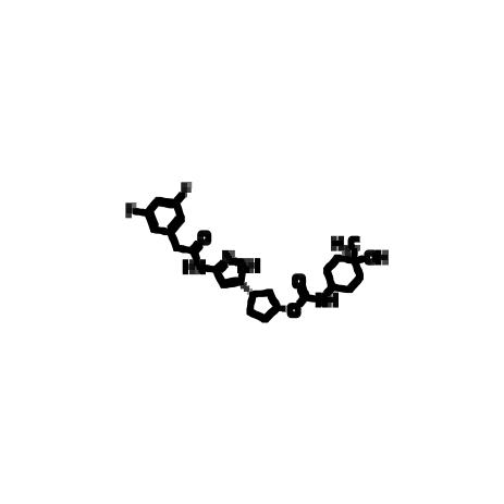 CC1(O)CCC(NC(=O)O[C@@H]2CC[C@H](c3cc(NC(=O)Cc4cc(F)cc(F)c4)n[nH]3)C2)CC1